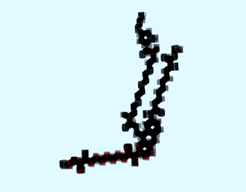 CN(CCOCCOCCOCCN(C)C(=O)[C@@H]1CC(N=[N+]=[N-])CN1)C(=O)CCC12c3cc(NC(=O)CCCCCCCNC(=O)OC(C)(C)C)ccc3C(c3ccc(NC(=O)CCCCCCCNC(=O)OC(C)(C)C)cc31)c1ccc(NC(=O)CCCCCCCNC(=O)OC(C)(C)C)cc12